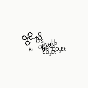 CCOC(=O)CNC(=O)[C@H](CSC1CC(=O)N(CCCC[P+](c2ccccc2)(c2ccccc2)c2ccccc2)C1=O)NC(=O)CC[C@H](N)C(=O)OCC.[Br-]